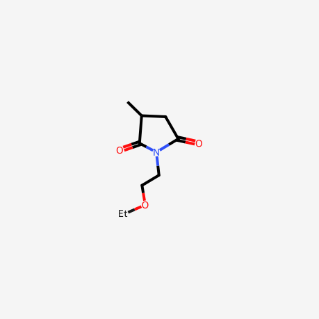 CCOCCN1C(=O)CC(C)C1=O